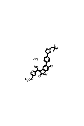 COc1cc(C(O)=C2C(=O)Nc3cc(Cl)c(-c4ccc(C5CCN(CC(F)(F)F)C5)cc4)cc32)on1.Cl